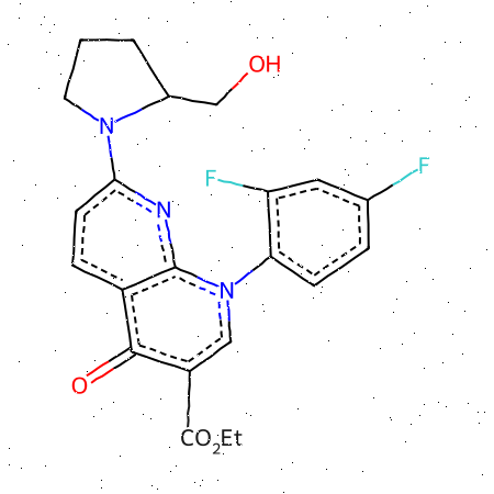 CCOC(=O)c1cn(-c2ccc(F)cc2F)c2nc(N3CCCC3CO)ccc2c1=O